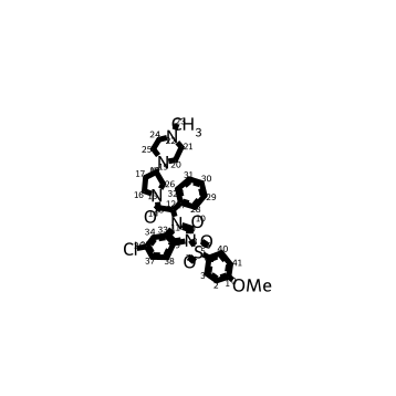 COc1ccc(S(=O)(=O)n2c(=O)n(C(C(=O)N3CC[C@H](N4CCN(C)CC4)C3)c3ccccc3)c3cc(Cl)ccc32)cc1